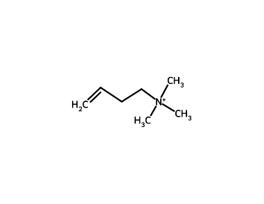 C=CCC[N+](C)(C)C